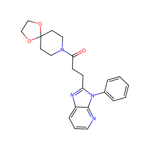 O=C(CCc1nc2cccnc2n1-c1ccccc1)N1CCC2(CC1)OCCO2